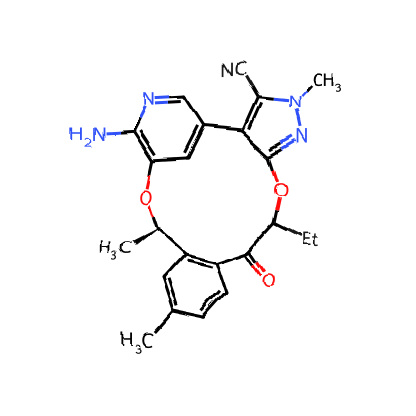 CCC1Oc2nn(C)c(C#N)c2-c2cnc(N)c(c2)O[C@H](C)c2cc(C)ccc2C1=O